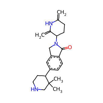 C=C1CCC(N2Cc3cc(C4CCNCC4(C)C)ccc3C2=O)C(=C)N1